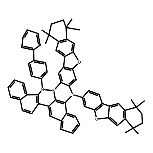 CC1(C)CCC(C)(C)c2cc3c(cc21)oc1cc(N2c4cc5oc6cc7c(cc6c5cc4B4c5c(cc6ccccc6c52)-c2ccc5ccccc5c2N4c2ccc(-c4ccccc4)cc2)C(C)(C)CCC7(C)C)ccc13